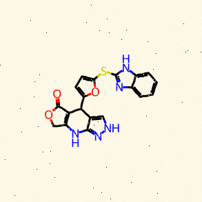 O=C1OCC2=C1C(c1ccc(Sc3nc4ccccc4[nH]3)o1)c1c[nH]nc1N2